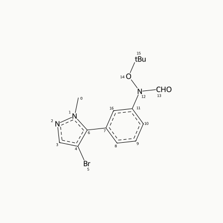 Cn1ncc(Br)c1-c1cccc(N(C=O)OC(C)(C)C)c1